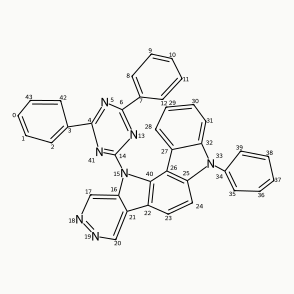 c1ccc(-c2nc(-c3ccccc3)nc(-n3c4cnncc4c4ccc5c(c6ccccc6n5-c5ccccc5)c43)n2)cc1